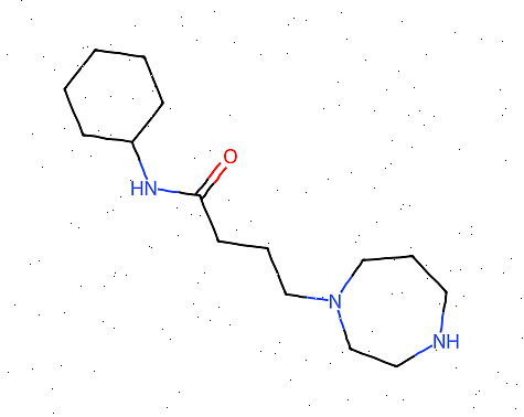 O=C(CCCN1CCCNCC1)NC1CCCCC1